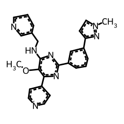 COc1c(NCc2cccnc2)nc(-c2cccc(-c3ccn(C)n3)c2)nc1-c1ccncc1